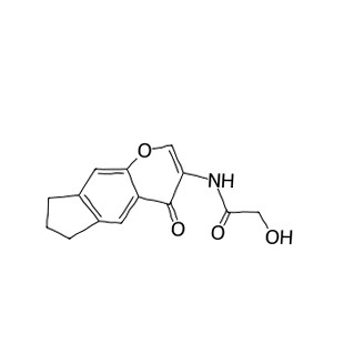 O=C(CO)Nc1coc2cc3c(cc2c1=O)CCC3